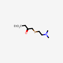 CCOC(=O)CC(=O)CSCCN(C)C